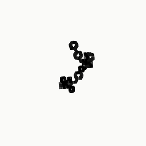 O=C1NC(=O)C(Cc2ccc(OCc3nc4cccnc4n3Cc3ccc(-c4ccccc4)cc3)cc2)S1